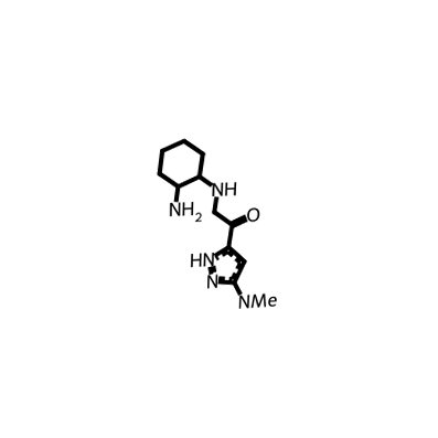 CNc1cc(C(=O)CNC2CCCCC2N)[nH]n1